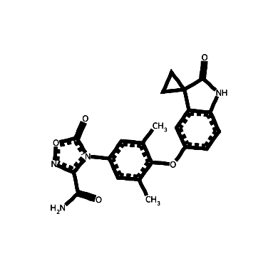 Cc1cc(-n2c(C(N)=O)noc2=O)cc(C)c1Oc1ccc2c(c1)C1(CC1)C(=O)N2